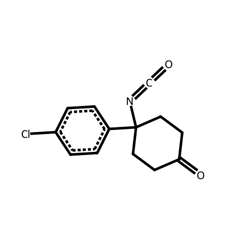 O=C=NC1(c2ccc(Cl)cc2)CCC(=O)CC1